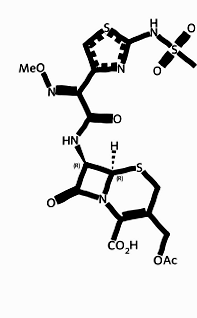 CON=C(C(=O)N[C@@H]1C(=O)N2C(C(=O)O)=C(COC(C)=O)CS[C@H]12)c1csc(NS(C)(=O)=O)n1